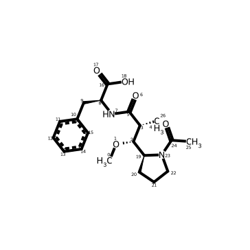 CO[C@H]([C@@H](C)C(=O)N[C@@H](Cc1ccccc1)C(=O)O)[C@@H]1CCCN1C(C)=O